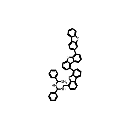 NC(NC(NCc1cccc2c1sc1c(-c3cccc4sc5c(-c6ccc7c(c6)sc6ccccc67)cccc5c34)cccc12)c1ccccc1)c1ccccc1